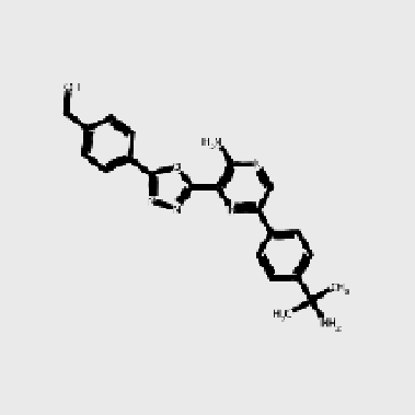 CC(C)(N)c1ccc(-c2cnc(N)c(-c3nnc(-c4ccc(CO)cc4)o3)n2)cc1